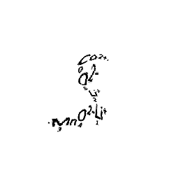 [Co+2].[Li+].[Li+].[Mn].[O-2].[O-2]